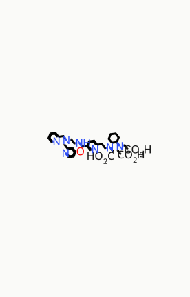 O=C(O)CN(CCc1ccc(C(=O)NCCN(Cc2ccccn2)Cc2ccccn2)cn1)C1CCCCC1N(CC(=O)O)CC(=O)O